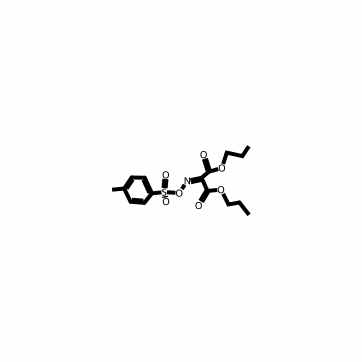 CCCOC(=O)C(=NOS(=O)(=O)c1ccc(C)cc1)C(=O)OCCC